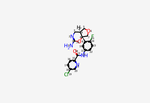 NC1=NC[C@H]2COC[C@]2(c2cc(NC(=O)c3ccc(Cl)cn3)ccc2F)O1